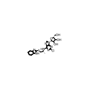 C[C@H](CSc1nc2ccccc2[nH]1)Nc1nc(Cl)nc2c1ncn2[C@@H]1O[C@H](CO)C(O)C1O